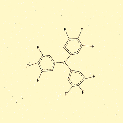 Fc1cc(N(c2cc(F)c(F)c(F)c2)c2cc(F)c(F)c(F)c2)cc(F)c1F